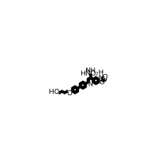 CS(=O)(=O)Nc1ccc2nc(-c3ccc(-c4ccc(OCCCCO)cc4)cc3)cc(C(=O)NN)c2c1